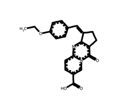 CCOc1ccc(/C=C2/CCc3c2nc2ccc(C(=O)O)cn2c3=O)cc1